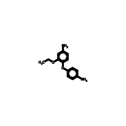 CCOc1cc(N)ccc1Oc1ccc(N)cc1